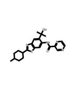 CC1CCC(c2nc3cc(C(C)(C)O)c(NC(=O)c4cnccn4)cc3s2)CC1